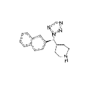 c1ccc2cc([C@H](C3CCNCC3)n3ncnn3)ccc2c1